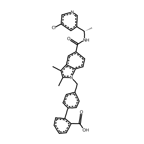 Cc1c(C)n(Cc2ccc(-c3ccccc3C(=O)O)cc2)c2ccc(C(=O)N[C@@H](C)c3cncc(Cl)c3)cc12